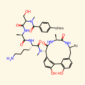 CCCCCCc1ccc(C(=O)N(C)C(CO)C(=O)N[C@H](C)C(=O)N[C@@H](CCCCN)C(=O)N(C)[C@@H]2C(=O)N[C@@H](C)C(=O)NC(C(C)=O)Cc3ccc(O)c(c3)-c3cc2ccc3O)cc1